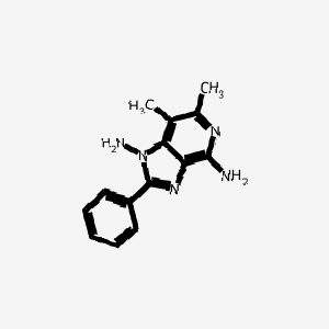 Cc1nc(N)c2nc(-c3ccccc3)n(N)c2c1C